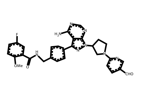 COc1ccc(F)cc1C(=O)NCc1ccc(-c2nn(C3CCN(c4ccc(C=O)cn4)C3)c3ncnc(N)c23)cc1